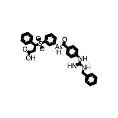 N=C(NCc1ccccc1)Nc1ccc(C(=O)[AsH]c2cccc(S(=O)(=O)C(CC(=O)O)c3ccccc3)c2)cc1